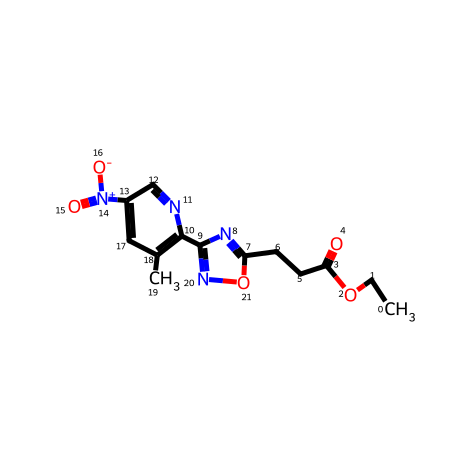 CCOC(=O)CCc1nc(-c2ncc([N+](=O)[O-])cc2C)no1